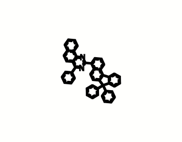 c1ccc(-c2nc(-c3cccc4c5c(ccc34)C(c3ccccc3)(c3ccccc3)c3ccccc3-5)nc3c2ccc2ccccc23)cc1